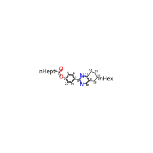 CCCCCCCC(=O)Oc1ccc(-c2ncc3c(n2)CCC(CCCCCC)C3)cc1